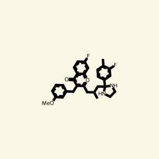 COc1cccc(Cc2c(CC(C)CC3(c4ccc(C)c(F)c4)NCCN3)oc3cc(F)ccc3c2=O)c1